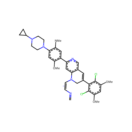 C=N/C=C\N1CC(c2c(Cl)c(OC)cc(OC)c2Cl)=Cc2cnc(-c3cc(NC)c(N4CCN(C5CC5)CC4)cc3OC)cc21